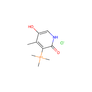 Cc1c(O)c[nH]c(=O)c1[P+](C)(C)C.[Cl-]